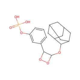 O=P(O)(O)Oc1cccc(C2OOC2OC2C3CC4CC(C3)CC2C4)c1